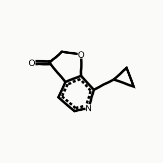 O=C1COc2c1ccnc2C1CC1